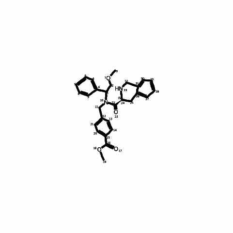 COCC(c1ccccc1)N(Cc1ccc(C(=O)OC)cc1)C(=O)[C@@H]1Cc2ccccc2CN1